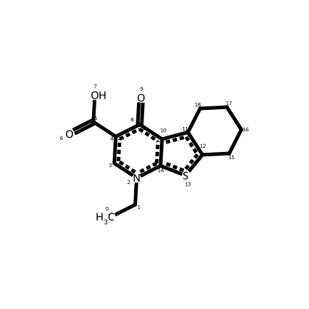 CCn1cc(C(=O)O)c(=O)c2c3c(sc21)CCCC3